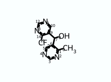 Cc1ncncc1C(O)c1cncnc1C(F)(F)F